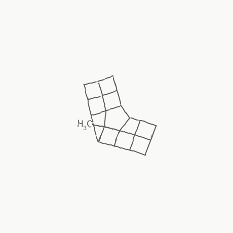 CC12C3C4C5CC6CC7C(C8C9CC%10CC%11C3C81C%10%119)C42C657